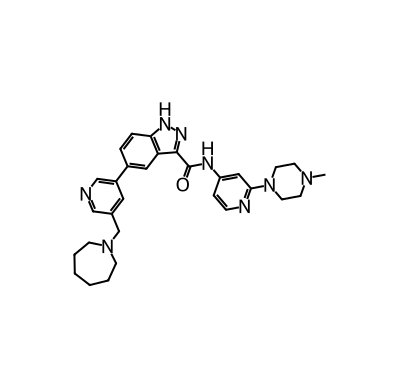 CN1CCN(c2cc(NC(=O)c3n[nH]c4ccc(-c5cncc(CN6CCCCCC6)c5)cc34)ccn2)CC1